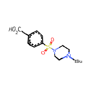 CC(C)(C)N1CCN(S(=O)(=O)c2ccc(C(=O)O)cc2)CC1